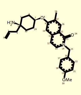 C=CC[C@]1(N)CC[C@@H](Oc2cc3ccn(Cc4ccc(OC)cc4)c(=O)c3cc2C)CC1